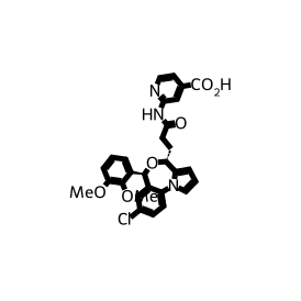 COc1cccc([C@H]2O[C@H](CCC(=O)Nc3cc(C(=O)O)ccn3)c3cccn3-c3ccc(Cl)cc32)c1OC